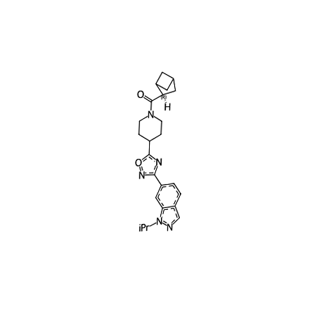 CC(C)n1ncc2ccc(-c3noc(C4CCN(C(=O)[C@@H]5CC6CC5C6)CC4)n3)cc21